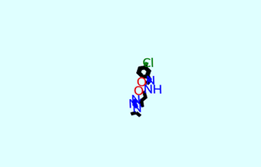 CC(C)n1cc(CC(=O)Nc2nc3cc(Cl)ccc3o2)nn1